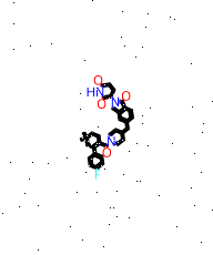 CC1(C)CCC(C(=O)N2CCC(Cc3ccc4c(c3)CN(C3CCC(=O)NC3=O)C4=O)CC2)=C(c2ccc(F)cc2)C1